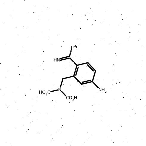 CCCC(=N)c1ccc(N)cc1CN(C(=O)O)C(=O)O